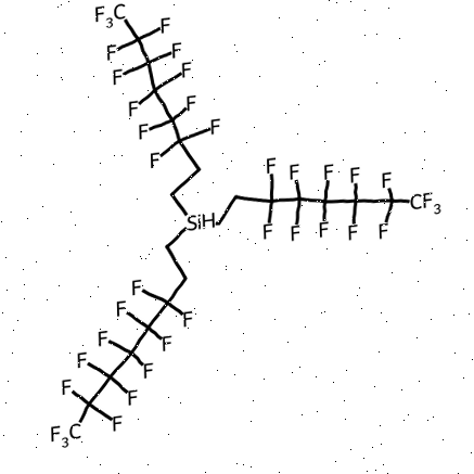 FC(F)(F)C(F)(F)C(F)(F)C(F)(F)C(F)(F)C(F)(F)CC[SiH](CCC(F)(F)C(F)(F)C(F)(F)C(F)(F)C(F)(F)C(F)(F)F)CCC(F)(F)C(F)(F)C(F)(F)C(F)(F)C(F)(F)C(F)(F)F